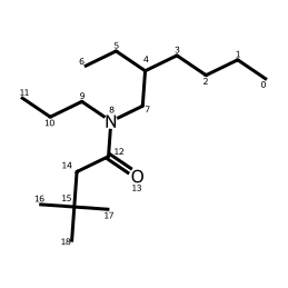 CCCCC(CC)CN(CCC)C(=O)CC(C)(C)C